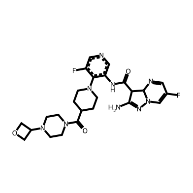 NC1=NN2C=C(F)C=NC2C1C(=O)Nc1cncc(F)c1N1CCC(C(=O)N2CCN(C3COC3)CC2)CC1